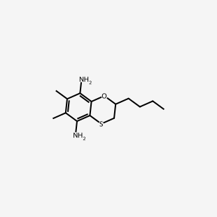 CCCCC1CSc2c(N)c(C)c(C)c(N)c2O1